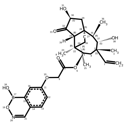 C=C[C@]1(C)C[C@@H](OC(=O)COc2ccc3c(c2)B(O)ON=C3)[C@]2(C)[C@H](C)CC[C@]3(C[C@H](O)C(=O)[C@H]32)[C@@H](C)[C@@H]1O